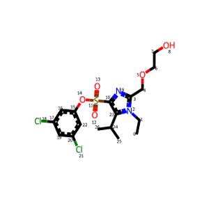 CCn1c(COCCO)nc(S(=O)(=O)Oc2cc(Cl)cc(Cl)c2)c1C(C)C